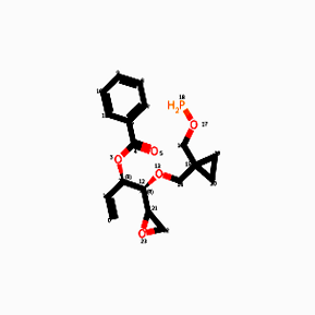 C=C[C@@H](OC(=O)c1ccccc1)[C@@H](OCC1(COP)CC1)C1CO1